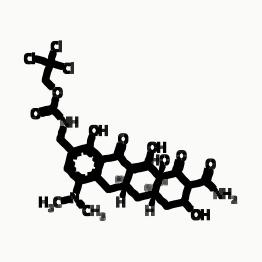 CN(C)c1cc(CNC(=O)OCC(Cl)(Cl)Cl)c(O)c2c1C[C@H]1C[C@H]3CC(O)C(C(N)=O)C(=O)[C@@]3(O)C(O)=C1C2=O